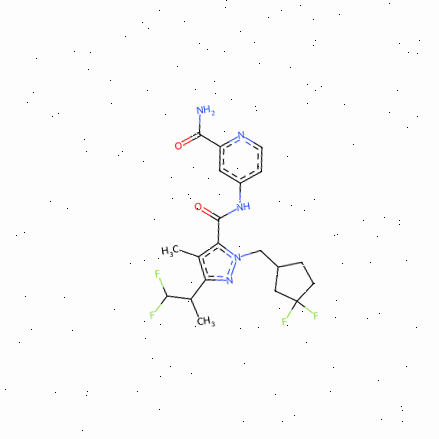 Cc1c(C(C)C(F)F)nn(CC2CCC(F)(F)C2)c1C(=O)Nc1ccnc(C(N)=O)c1